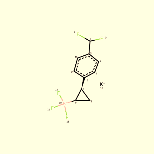 FC(F)c1ccc([C@H]2CC2[B-](F)(F)F)cc1.[K+]